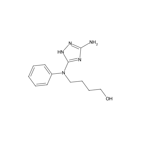 Nc1n[nH]c(N(CCCCO)c2ccccc2)n1